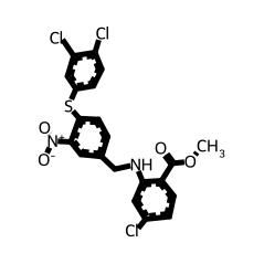 COC(=O)c1ccc(Cl)cc1NCc1ccc(Sc2ccc(Cl)c(Cl)c2)c([N+](=O)[O-])c1